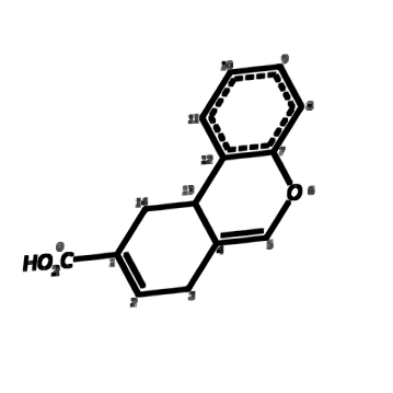 O=C(O)C1=CCC2=COc3ccccc3C2C1